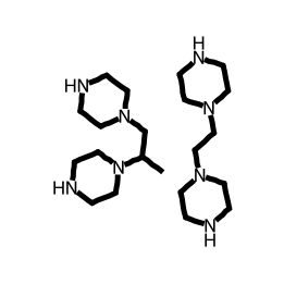 C1CN(CCN2CCNCC2)CCN1.CC(CN1CCNCC1)N1CCNCC1